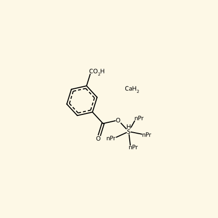 CCC[SH](CCC)(CCC)(CCC)OC(=O)c1cccc(C(=O)O)c1.[CaH2]